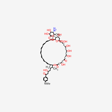 CNc1ccc(C(=O)CC(O)CC[C@H](C)C2OC(=O)C[C@H](O)CC(=O)C[C@H](O)C[C@H](O)C[C@H](O)C[C@H](O)C[C@]3(O)C[C@H](O)[C@@H](C)[C@](O)(C[C@@H](O[C@@H]4O[C@H](C)[C@@H](N)[C@H](O)[C@@H]4O)/C=C/C=C/C=C/C=C/C=C/C=C/C=C/[C@@H]2C)O3)cc1